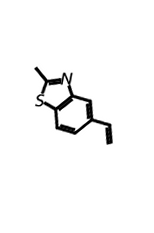 C=Cc1ccc2sc(C)nc2c1